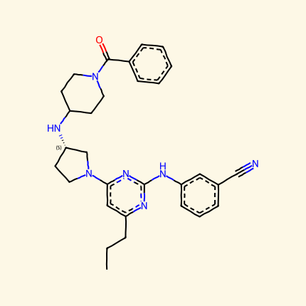 CCCc1cc(N2CC[C@H](NC3CCN(C(=O)c4ccccc4)CC3)C2)nc(Nc2cccc(C#N)c2)n1